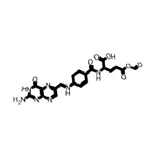 Nc1nc2ncc(CNC3C=CC(C(=O)NC(CCC(=O)OC=O)C(=O)O)CC3)nc2c(=O)[nH]1